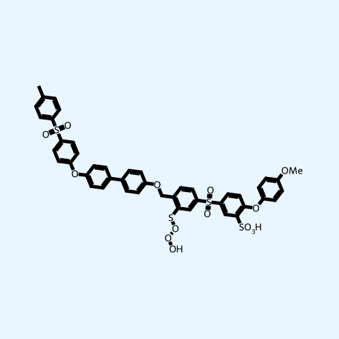 COc1ccc(Oc2ccc(S(=O)(=O)c3ccc(COc4ccc(-c5ccc(Oc6ccc(S(=O)(=O)c7ccc(C)cc7)cc6)cc5)cc4)c(SOOO)c3)cc2S(=O)(=O)O)cc1